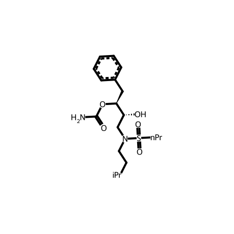 CCCS(=O)(=O)N(CCC(C)C)C[C@@H](O)[C@H](Cc1ccccc1)OC(N)=O